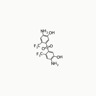 Nc1cc(C(F)(F)F)c(S(=O)(=O)c2cc(O)c(N)cc2C(F)(F)F)cc1O